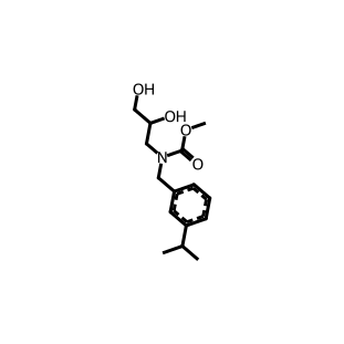 COC(=O)N(Cc1cccc(C(C)C)c1)CC(O)CO